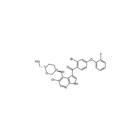 O=C(c1ccc(Oc2ccccc2F)cc1Br)c1c[nH]c2ncc(Cl)c(N[C@@H]3CC[C@@H](CO)OC3)c12